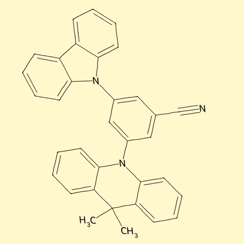 CC1(C)c2ccccc2N(c2cc(C#N)cc(-n3c4ccccc4c4ccccc43)c2)c2ccccc21